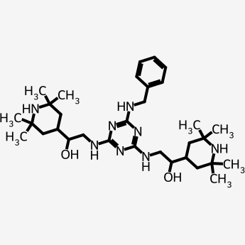 CC1(C)CC(C(O)CNc2nc(NCc3ccccc3)nc(NCC(O)C3CC(C)(C)NC(C)(C)C3)n2)CC(C)(C)N1